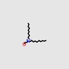 CCCCCCCCCC[N+](C)(CC=O)CCCCCCCCCC